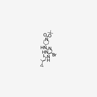 C/C(=C\C(I)NC1=C(Br)C=NC(NC2CCN(C(=O)OC(C)(C)C)CC2)N1)C1CC1